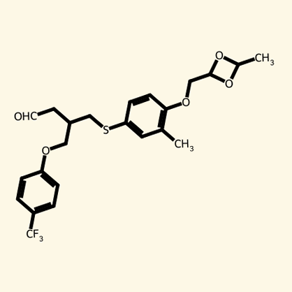 Cc1cc(SCC(CC=O)COc2ccc(C(F)(F)F)cc2)ccc1OCC1OC(C)O1